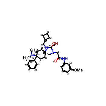 COc1cccc(NC(=O)CN2C[C@]3(CC[C@](c4ccccc4)(N(C)C)CC3)N(CC3CCC3)C2O)c1